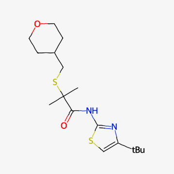 CC(C)(SCC1CCOCC1)C(=O)Nc1nc(C(C)(C)C)cs1